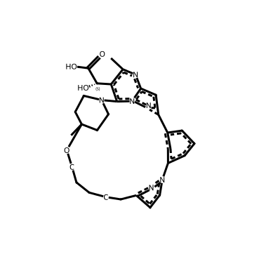 Cc1nc2cc3nn2c(c1[C@H](O)C(=O)O)N1CCC(C)(CC1)OCCCCCc1ccn(n1)-c1cccc-3c1